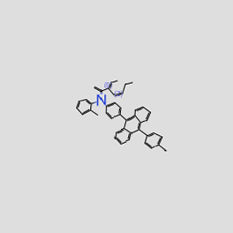 C=C(C(/C=C\CC)=C/C)N(c1ccc(-c2c3ccccc3c(-c3ccc(C)cc3)c3ccccc23)cc1)c1ccccc1C